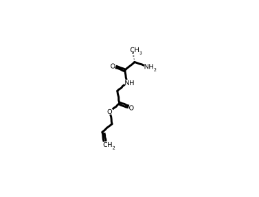 C=CCOC(=O)CNC(=O)[C@H](C)N